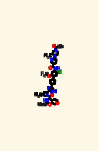 COC(=O)NC(C(=O)N1C[C@@H](C)C[C@H]1c1nc(-c2ccc(-c3cc(Cl)c(NC(=O)c4ccc(N5CCN(C(=O)C(C)(C)C)C[C@H]5C)nc4)cc3OC(F)(F)F)cc2)c[nH]1)C1CCOCC1